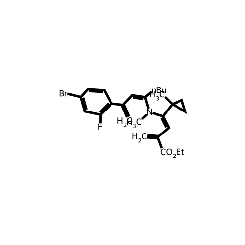 C=C(/C=C(\N(C)/C(=C\C(=C)c1ccc(Br)cc1F)CCCC)C1(C)CC1)C(=O)OCC